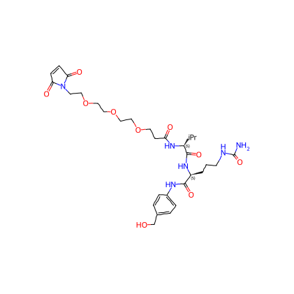 CC(C)[C@H](NC(=O)CCOCCOCCOCCN1C(=O)C=CC1=O)C(=O)N[C@@H](CCCNC(N)=O)C(=O)Nc1ccc(CO)cc1